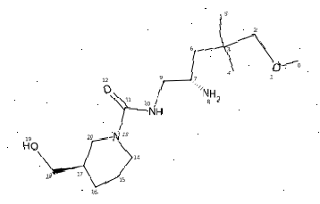 COCC(C)(C)C[C@H](N)CNC(=O)N1CCC[C@@H](CO)C1